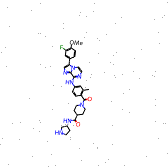 COc1ccc(-c2cnc3c(Nc4ccc(C(=O)N5CCC(C(=O)N[C@@H]6CCNC6)CC5)c(C)c4)nccn23)cc1F